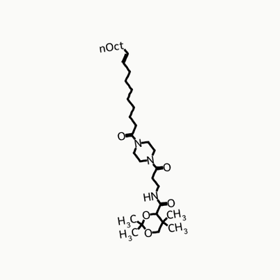 CCCCCCCCC=CCCCCCCCC(=O)N1CCN(C(=O)CCNC(=O)C2OC(C)(C)OCC2(C)C)CC1